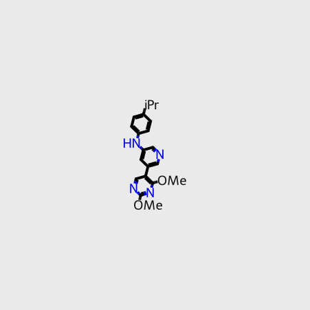 COc1ncc(-c2cncc(Nc3ccc(C(C)C)cc3)c2)c(OC)n1